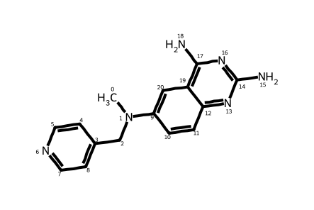 CN(Cc1ccncc1)c1ccc2nc(N)nc(N)c2c1